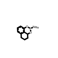 CNP1Oc2cccc3c2C(CCC3)O1